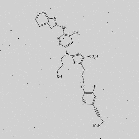 CNCC#Cc1ccc(OCCCc2sc(N(CCCO)c3cc(C)c(Nc4nc5ccccc5s4)nn3)nc2C(=O)O)c(F)c1